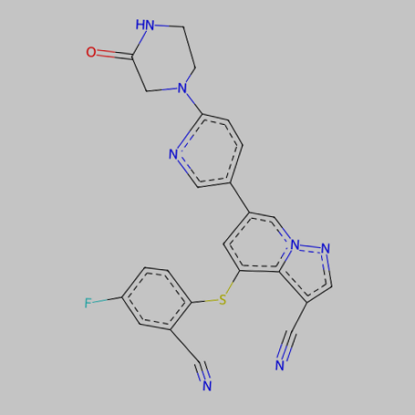 N#Cc1cc(F)ccc1Sc1cc(-c2ccc(N3CCNC(=O)C3)nc2)cn2ncc(C#N)c12